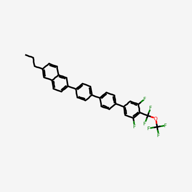 CCCc1ccc2cc(-c3ccc(-c4ccc(-c5cc(F)c(C(F)(F)OC(F)(F)F)c(F)c5)cc4)cc3)ccc2c1